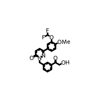 COc1ccc(-c2ccc(=O)n(Cc3cccc(C(=O)CO)c3)n2)cc1OC(F)F